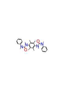 Cc1c(C)c(N(C)C(=O)N(C)c2ccccc2)c(C)c(C)c1N(C)C(=O)N(C)c1ccccc1